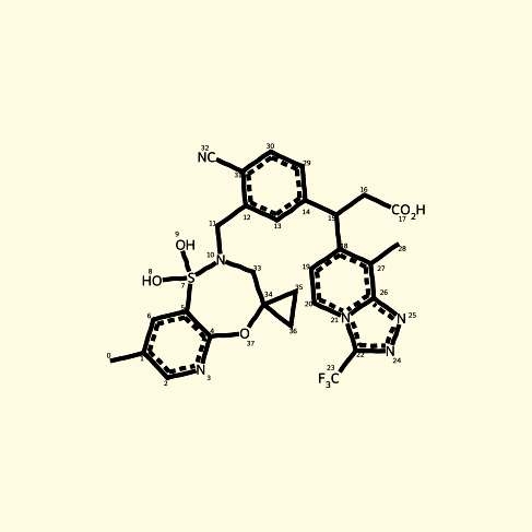 Cc1cnc2c(c1)S(O)(O)N(Cc1cc(C(CC(=O)O)c3ccn4c(C(F)(F)F)nnc4c3C)ccc1C#N)CC1(CC1)O2